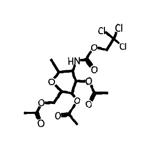 CC(=O)OCC1OC(C)C(NC(=O)OCC(Cl)(Cl)Cl)C(OC(C)=O)C1OC(C)=O